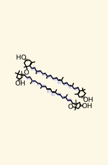 CC(/C=C/C=C(C)/C=C/C(=O)[C@]1(C)C[C@@H](O)CC1(C)C)=C\C=C\C=C(C)\C=C\C=C(C)\C=C\C(=O)[C@]1(C)C[C@@H](O)CC1(C)C.CC1=C(/C=C/C(C)=C/C=C/C(C)=C/C=C/C=C(C)/C=C/C=C(C)/C=C/C2=C(C)C[C@@H](O)CC2(C)C)C(C)(C)C[C@H](O)C1